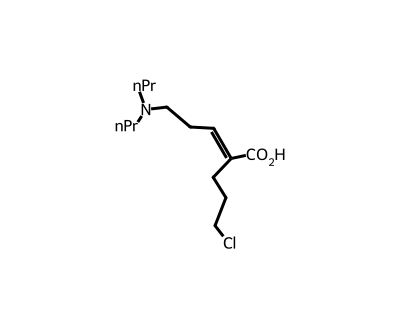 CCCN(CCC)CCC=C(CCCCl)C(=O)O